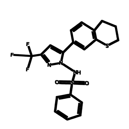 O=S(=O)(Nn1nc(C(F)(F)F)cc1-c1ccc2c(c1)SCCC2)c1ccccc1